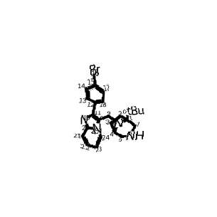 CC(C)(C)C12CCC(CNC1)N2Cc1c(-c2ccc(Br)cc2)nc2ccccn12